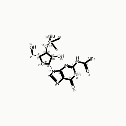 CC(C)C(=O)Nc1nc2c(ncn2[C@@H]2O[C@H](CO)[C@@H](O[Si](C)(C)C(C)(C)C)[C@H]2O)c(=O)[nH]1